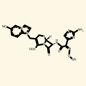 CCCO/N=C(\C(=O)N[C@@H]1C(=O)N2C(C(=O)[O-])=C(Cn3cc[n+]4cc(C#N)ccc34)CS[C@H]12)c1csc(N)n1